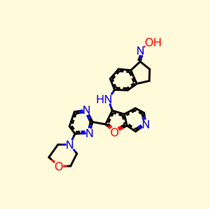 ON=C1CCc2cc(Nc3c(-c4nccc(N5CCOCC5)n4)oc4cnccc34)ccc21